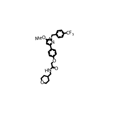 COc1cc(-c2ccc(OCC(=O)NCC3CCOCC3)cc2)nn1Cc1ccc(C(F)(F)F)cc1